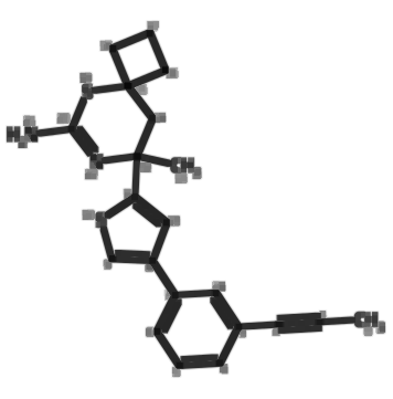 CC#Cc1cccc(-c2csc(C3(C)CC4(CCC4)SC(N)=N3)c2)c1